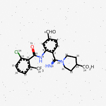 N=C(c1ccc(C=O)cc1NC(=O)c1c(Cl)cccc1C(F)(F)F)N1CCC(C(=O)O)CC1